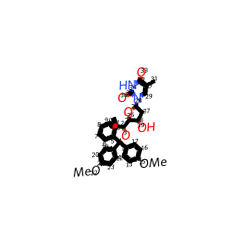 C=CC(OC(c1ccccc1)(c1ccc(OC)cc1)c1ccc(OC)cc1)C1OC(n2cc(C)c(=O)[nH]c2=O)CC1O